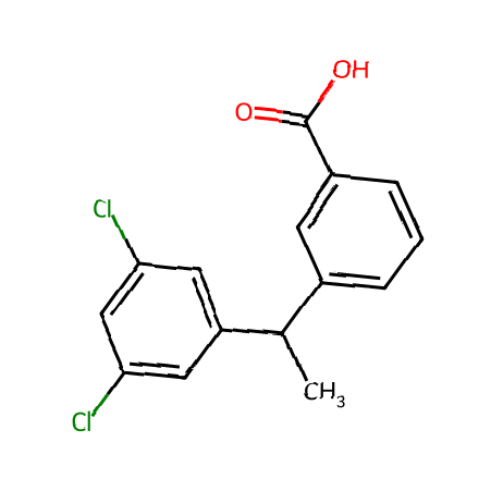 CC(c1cc(Cl)cc(Cl)c1)c1cccc(C(=O)O)c1